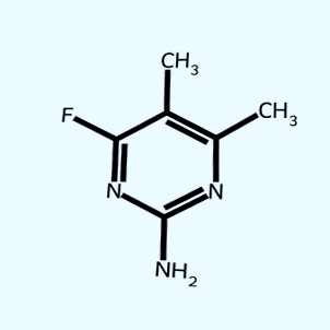 Cc1nc(N)nc(F)c1C